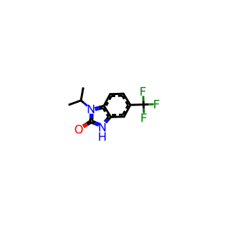 CC(C)n1c(=O)[nH]c2cc(C(F)(F)F)ccc21